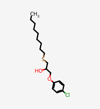 CCCCCCCCCSCC(O)COc1ccc(Cl)cc1